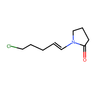 O=C1CCCN1C=CCCCCl